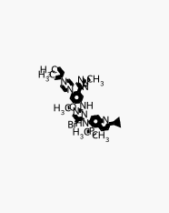 C/C=C\C(=C/C)N1CCN(c2cc(OC)c(Nc3ncc(Br)c(Nc4ccc5nc(C6CC6)ccc5c4P(C)C)n3)cc2-c2cnn(C)n2)CC1